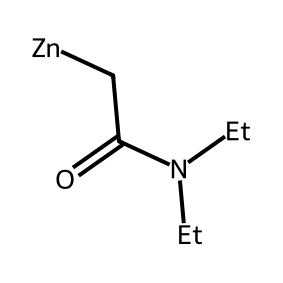 CCN(CC)C(=O)[CH2][Zn]